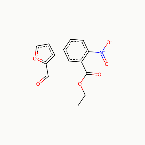 CCOC(=O)c1ccccc1[N+](=O)[O-].O=Cc1ccco1